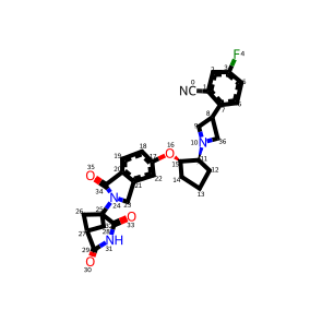 N#Cc1cc(F)ccc1C1CN([C@H]2CCC[C@H]2Oc2ccc3c(c2)CN(C24CC(C2)C(=O)NC4=O)C3=O)C1